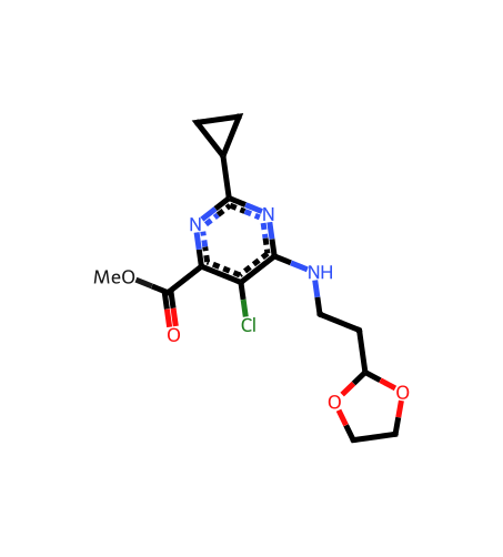 COC(=O)c1nc(C2CC2)nc(NCCC2OCCO2)c1Cl